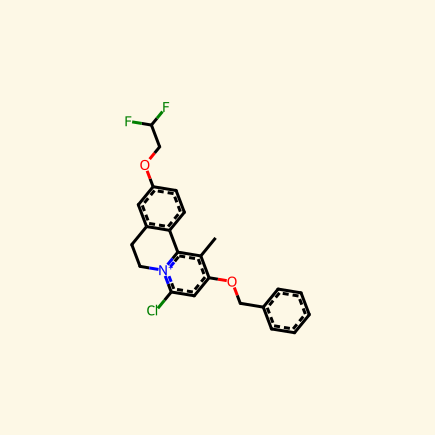 Cc1c(OCc2ccccc2)cc(Cl)[n+]2c1-c1ccc(OCC(F)F)cc1CC2